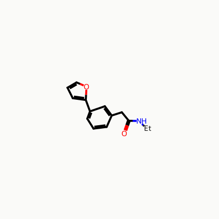 CCNC(=O)Cc1cccc(-c2ccco2)c1